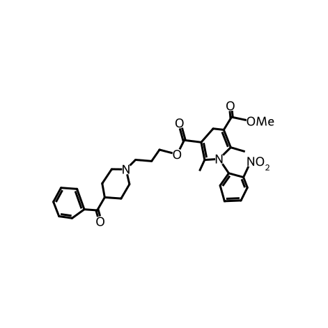 COC(=O)C1=C(C)N(c2ccccc2[N+](=O)[O-])C(C)=C(C(=O)OCCCN2CCC(C(=O)c3ccccc3)CC2)C1